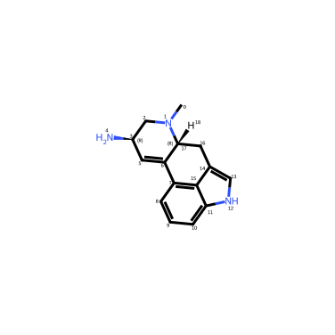 CN1C[C@H](N)C=C2c3cccc4[nH]cc(c34)C[C@H]21